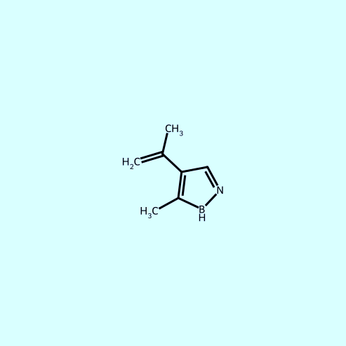 C=C(C)C1=C(C)BN=C1